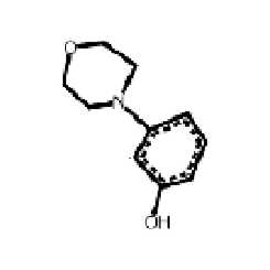 Oc1[c]c(N2CCOCC2)ccc1